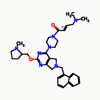 CN(C)C/C=C/C(=O)N1CCN(c2nc(OCC3CCCN3C)nc3c2CN(Cc2cccc4ccccc24)C3)CC1